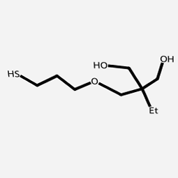 CCC(CO)(CO)COCCCS